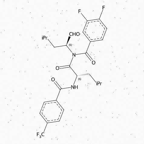 CC(C)C[C@H](NC(=O)c1ccc(C(F)(F)F)cc1)C(=O)N(C(=O)c1ccc(F)c(F)c1)[C@H]([C]=O)CC(C)C